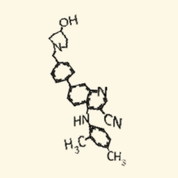 Cc1ccc(Nc2c(C#N)cnc3cc(-c4ccc(CN5CCC(O)CC5)cc4)ccc23)c(C)c1